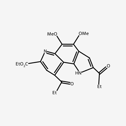 CCOC(=O)c1cc(C(=O)CC)c2c(n1)c(OC)c(OC)c1cc(C(=O)CC)[nH]c12